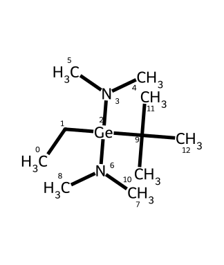 C[CH2][Ge]([N](C)C)([N](C)C)[C](C)(C)C